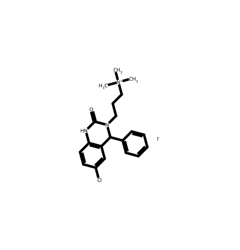 C[N+](C)(C)CCCN1C(=O)Nc2ccc(Cl)cc2C1c1ccccc1.[I-]